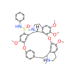 COc1cc([S+]([O-])Nc2ccccc2)c2cc1Oc1ccc(cc1)C[C@H]1c3cc(c(OC)cc3CCN1C)Oc1c(OC)c(OC)cc3c1[C@H](C2)N(C)CC3